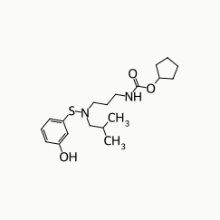 CC(C)CN(CCCNC(=O)OC1CCCC1)Sc1cccc(O)c1